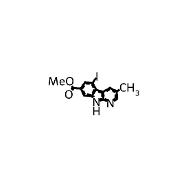 COC(=O)c1cc(I)c2c(c1)[nH]c1ncc(C)cc12